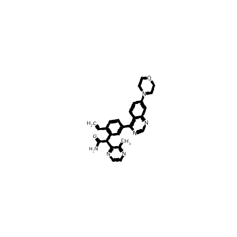 C=Cc1ccc(-c2ncnc3cc(N4CCOCC4)ccc23)cc1C(C(N)=O)c1nccnc1C